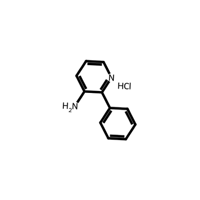 Cl.Nc1cccnc1-c1ccccc1